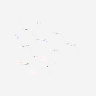 CC(C)=C1CCN(c2c(Br)c(C)nc(C)c2C(OC(C)(C)C)C(=O)O)CC1